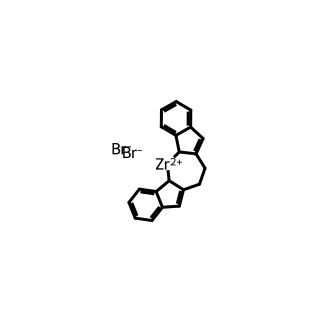 C1=C2CCC3=Cc4ccccc4[CH]3[Zr+2][CH]2c2ccccc21.[Br-].[Br-]